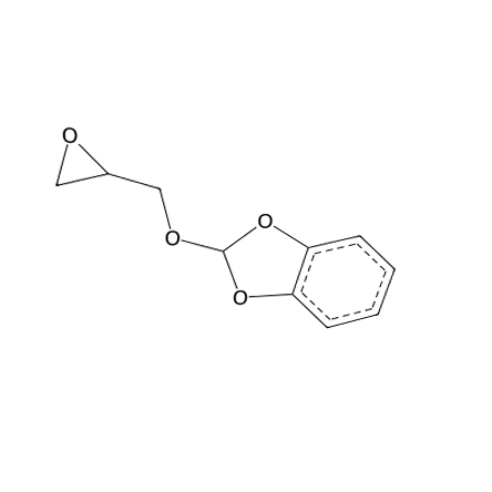 c1ccc2c(c1)OC(OCC1CO1)O2